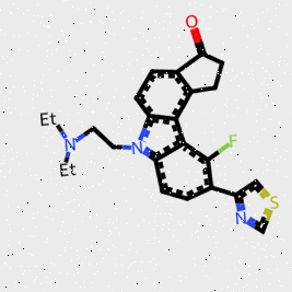 CCN(CC)CCn1c2ccc(-c3cscn3)c(F)c2c2c3c(ccc21)C(=O)CC3